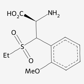 CCS(=O)(=O)C(c1ccccc1OC)[C@H](N)C(=O)O